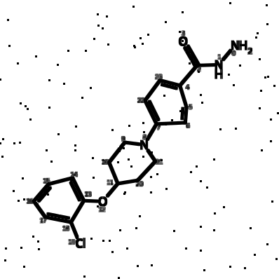 NNC(=O)c1ccc(N2CCC(Oc3ccccc3Cl)CC2)cc1